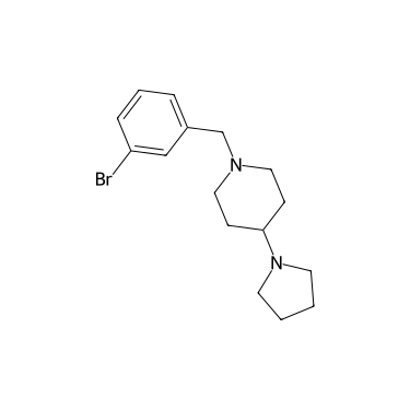 Brc1cccc(CN2CCC(N3CCCC3)CC2)c1